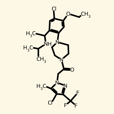 CCOc1cc(N2CCN(C(=O)Cn3nc(C(F)(F)F)c(Cl)c3C)CC2)c(C(C)NC(C)C)cc1Cl